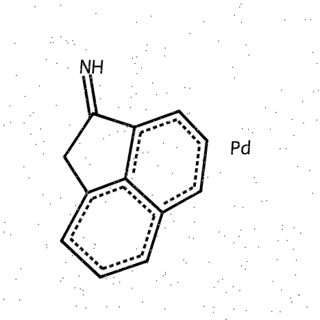 N=C1Cc2cccc3cccc1c23.[Pd]